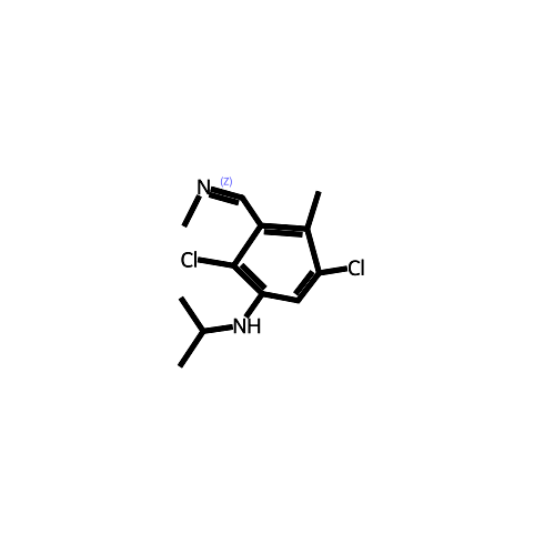 C/N=C\c1c(C)c(Cl)cc(NC(C)C)c1Cl